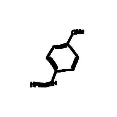 COc1ccc([SH]=P)cc1